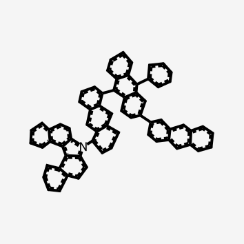 c1ccc(-c2c3ccccc3c(-c3cccc4cc5c(-n6c7ccc8ccccc8c7c7c8ccccc8ccc76)cccc5cc34)c3ccc(-c4ccc5cc6ccccc6cc5c4)cc23)cc1